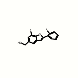 OCc1cc(F)c2oc(-c3ccccc3F)cc2c1